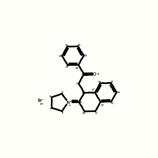 O=C(CC1C(=[N+]2CCCC2)CCc2ccccc21)c1ccccc1.[Br-]